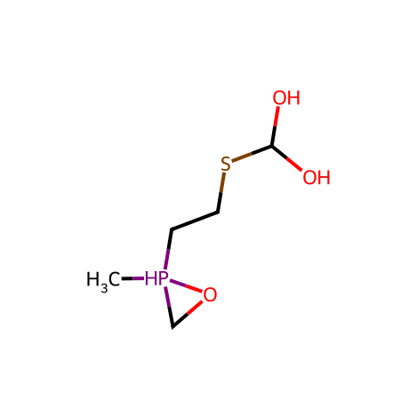 C[PH]1(CCSC(O)O)CO1